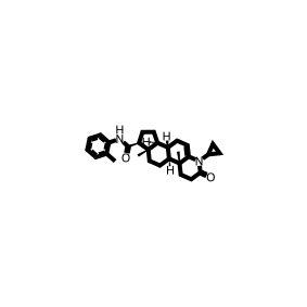 Cc1ccccc1NC(=O)[C@H]1CC[C@H]2[C@@H]3CC=C4N(C5CC5)C(=O)CC[C@]4(C)[C@H]3CC[C@]12C